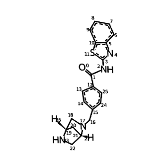 O=C(Nc1nc2ccccc2s1)c1ccc(CN2C[C@@H]3C[C@H]2CN3)cc1